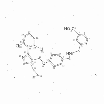 O=C(O)c1cccc(CNCc2ccc(OCc3c(C4CC4)cnn3-c3c(Cl)cccc3Cl)cc2)c1